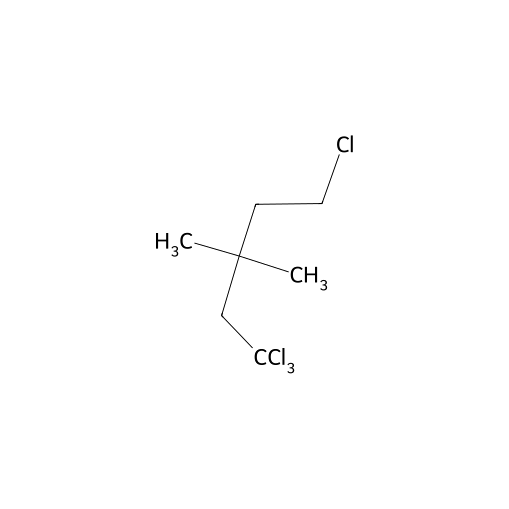 CC(C)(CCCl)CC(Cl)(Cl)Cl